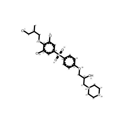 CC(CCl)COc1c(Cl)cc(S(=O)(=O)c2ccc(OCC(O)CN3CCOCC3)cc2)cc1Cl